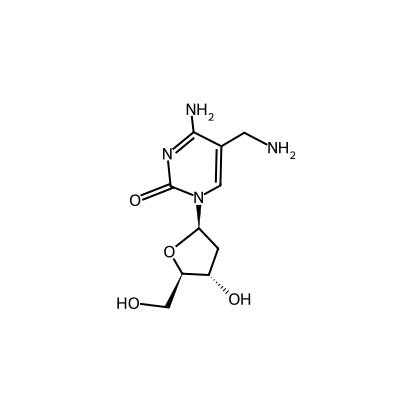 NCc1cn([C@H]2C[C@H](O)[C@@H](CO)O2)c(=O)nc1N